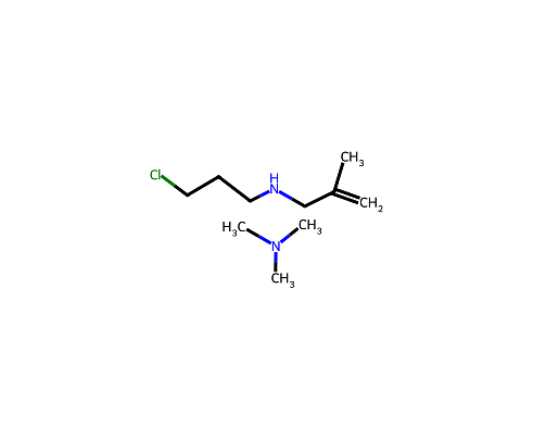 C=C(C)CNCCCCl.CN(C)C